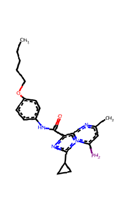 CCCCCOc1ccc(NC(=O)c2nc(C3CC3)n3c(P)cc(C)nc23)cc1